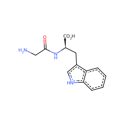 NCC(=O)N[C@H](Cc1c[nH]c2ccccc12)C(=O)O